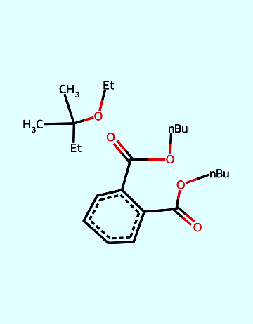 CCCCOC(=O)c1ccccc1C(=O)OCCCC.CCOC(C)(C)CC